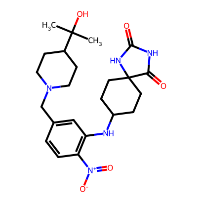 CC(C)(O)C1CCN(Cc2ccc([N+](=O)[O-])c(NC3CCC4(CC3)NC(=O)NC4=O)c2)CC1